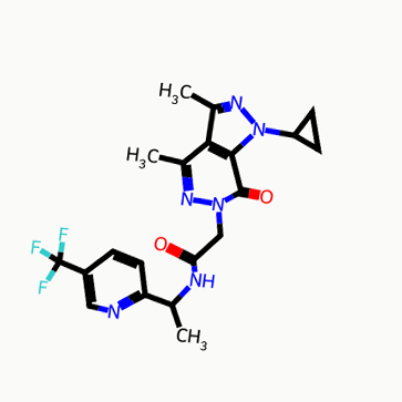 Cc1nn(CC(=O)NC(C)c2ccc(C(F)(F)F)cn2)c(=O)c2c1c(C)nn2C1CC1